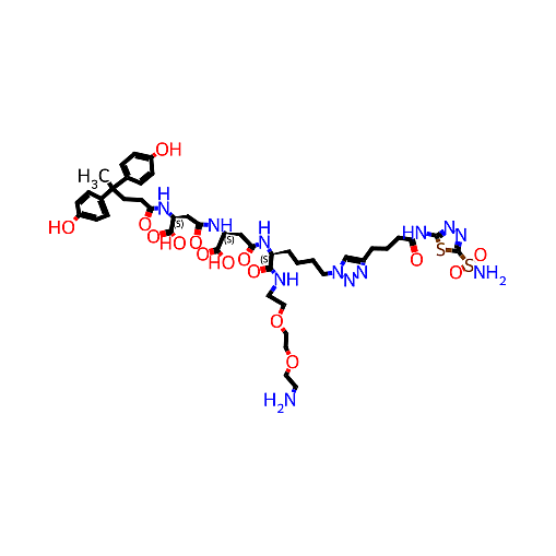 CC(CCC(=O)N[C@@H](CC(=O)N[C@@H](CC(=O)N[C@@H](CCCCn1cc(CCCC(=O)Nc2nnc(S(N)(=O)=O)s2)nn1)C(=O)NCCOCCOCCN)C(=O)O)C(=O)O)(c1ccc(O)cc1)c1ccc(O)cc1